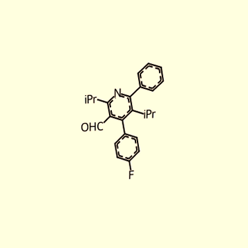 CC(C)c1nc(-c2ccccc2)c(C(C)C)c(-c2ccc(F)cc2)c1C=O